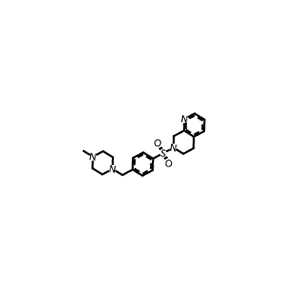 CN1CCN(Cc2ccc(S(=O)(=O)N3CCc4cccnc4C3)cc2)CC1